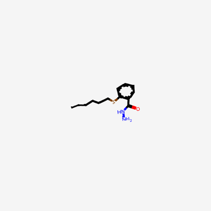 CCCCCCSc1ccccc1C(=O)NN